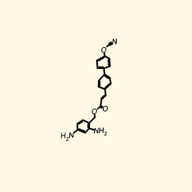 N#COc1ccc(-c2ccc(/C=C/C(=O)OCc3ccc(N)cc3N)cc2)cc1